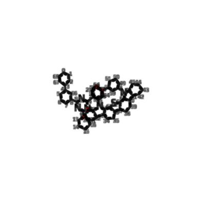 c1ccc(-c2cccc(-c3nc(-c4ccccc4)nc(-c4ccccc4-n4c5ccccc5c5ccc6c7ccc8c9ccccc9n(-c9cccc(-c%10ccccc%10)c9)c8c7sc6c54)n3)c2)cc1